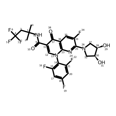 CC(C)(CC(F)(F)F)NC(=O)c1cn(-c2c(F)cc(F)cc2F)c2nc(N3C[C@@H](O)[C@@H](O)C3)c(F)cc2c1=O